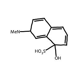 CNC1C=CC2=CC=CC(O)(S(=O)(=O)O)C2=C1